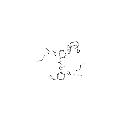 CCCCC(CC)COc1ccc(/C=C2/C(=O)C3CCN2CC3)cc1OC.CCCCC(CC)COc1ccc(C=O)cc1OC